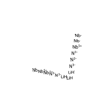 [LiH].[LiH].[LiH].[N-3].[N-3].[N-3].[N-3].[N-3].[Nb+5].[Nb+5].[Nb+5].[Nb].[Nb].[Nb]